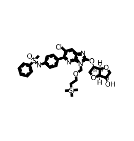 C[Si](C)(C)CCOCn1c(O[C@H]2CO[C@H]3[C@@H]2OC[C@H]3O)nc2cc(Cl)c(-c3ccc(N=S(C)(=O)c4ccccc4)cc3)nc21